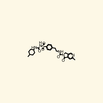 Cc1cc2c(cn1)CN(C(=O)NCCc1ccc(S(=O)(=O)NC(=O)NC3CCC(C)CC3)cc1)C2=O